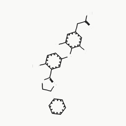 O=C(O)Cc1cc(Br)c(Oc2ccc(O)c(C3=N[C@H](c4ccccc4)CO3)c2)c(Br)c1